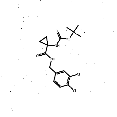 CC(C)(C)OC(=O)NC1(C(=O)NCc2ccc(Cl)c(Cl)c2)CC1